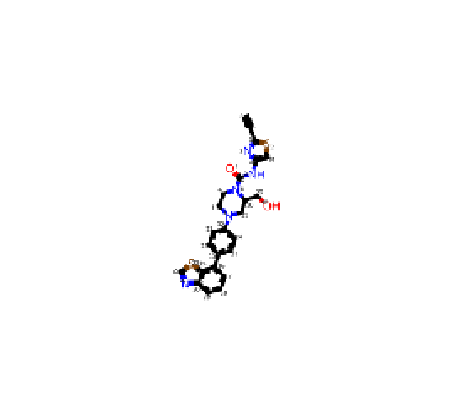 C#Cc1nc(NC(=O)N2CCN(c3ccc(-c4cccc5ncsc45)cc3)CC2CO)cs1